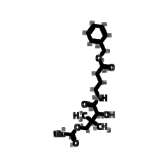 CC(C)(C)C(=O)OCC(C)(C)C(O)C(=O)NCCCC(=O)OCc1ccccc1